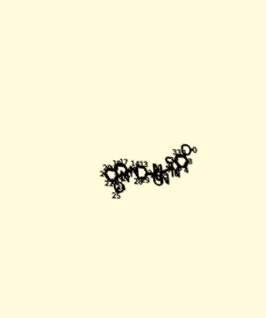 COc1ccc2nc(-c3noc(C4CCN(c5ccc6cccc(OC)c6n5)CC4)n3)sc2c1